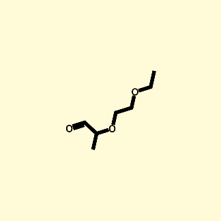 CCOCCOC(C)C=O